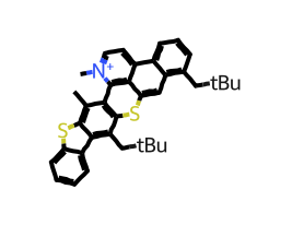 Cc1c2c(c(CC(C)(C)C)c3c1sc1ccccc13)Sc1cc3c(CC(C)(C)C)cccc3c3cc[n+](C)c-2c13